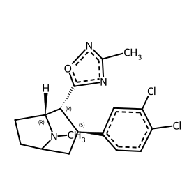 Cc1noc([C@@H]2[C@@H](c3ccc(Cl)c(Cl)c3)CC3CC[C@H]2N3C)n1